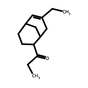 CCC(=O)C1CCC2C=C(CC)CC1C2